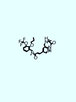 CCCOc1c(CN(C)C(=O)C=Cc2cnc3c(c2)CNC(C)(C)C(=O)N3)cccc1OC(F)(F)F